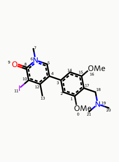 COc1cc(-c2cn(C)c(=O)c(I)c2C)cc(OC)c1CN(C)C